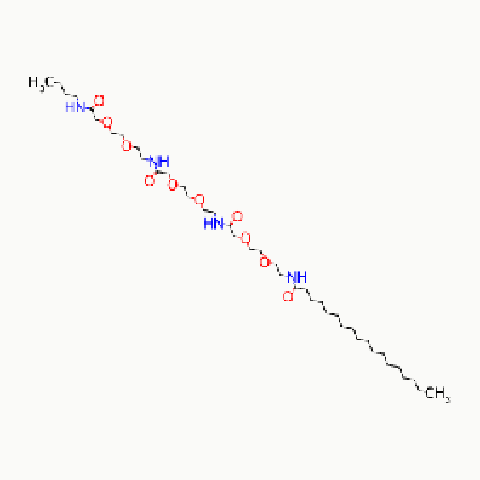 CCCCCCCCCCCCCCCCCC(=O)NCCOCCOCC(=O)NCCOCCOCC(=O)NCCOCCOCC(=O)NCCCC